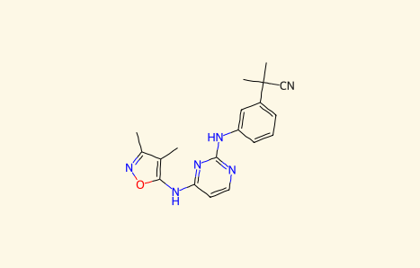 Cc1noc(Nc2ccnc(Nc3cccc(C(C)(C)C#N)c3)n2)c1C